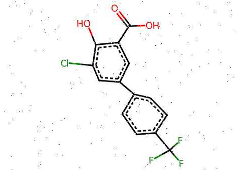 O=C(O)c1cc(-c2ccc(C(F)(F)F)cc2)cc(Cl)c1O